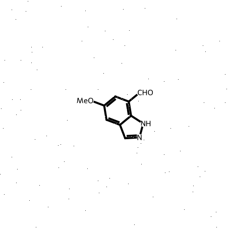 COc1cc(C=O)c2[nH]ncc2c1